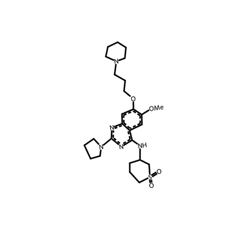 COc1cc2c(NC3CCCS(=O)(=O)C3)nc(N3CCCC3)nc2cc1OCCCN1CCCCC1